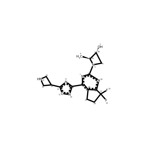 C[C@H]1[C@H](O)CN1c1nc(-c2noc(C3CNC3)n2)c2c(n1)C(F)(F)CC2